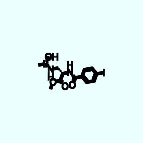 COC(=O)[C@H](CNB(C)O)NC(=O)c1ccc(I)cc1